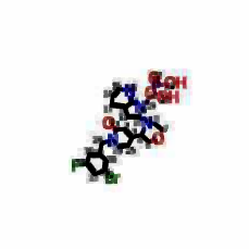 O=c1cc(C2COCCN2c2cc3cccnc3n2COP(=O)(O)O)ccn1Cc1cc(F)cc(Br)c1